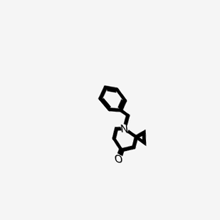 O=C1CCN(Cc2ccccc2)C2(CC2)C1